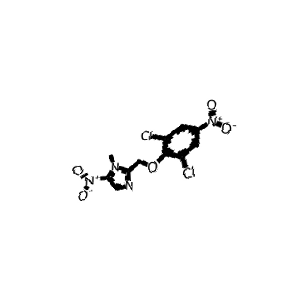 Cn1c([N+](=O)[O-])cnc1COc1c(Cl)cc([N+](=O)[O-])cc1Cl